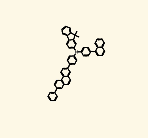 CC1(C)c2ccccc2-c2ccc(N(c3ccc(-c4ccc5c(ccc6cc(-c7ccccc7)ccc65)c4)cc3)c3ccc(-c4cccc5ccccc45)cc3)cc21